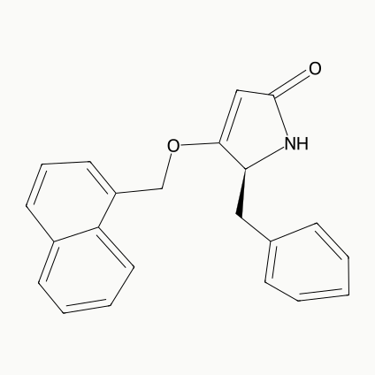 O=C1C=C(OCc2cccc3ccccc23)[C@H](Cc2ccccc2)N1